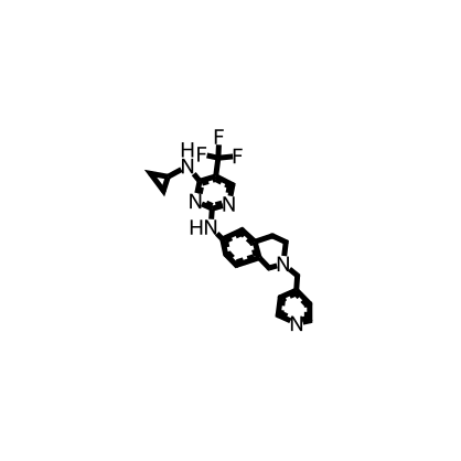 FC(F)(F)c1cnc(Nc2ccc3c(c2)CCN(Cc2ccncc2)C3)nc1NC1CC1